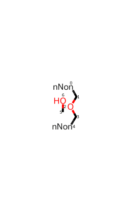 CCCCCCCCCCOCCCCCCCCCC.CO